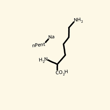 CCCC[CH2][Na].NCCCCC(N)C(=O)O